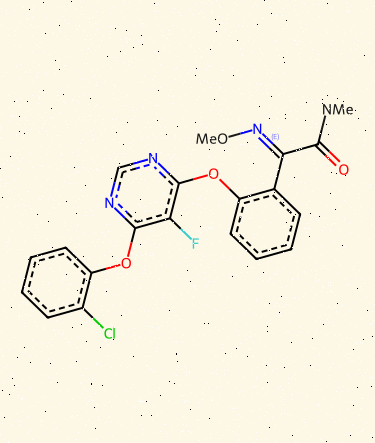 CNC(=O)/C(=N/OC)c1ccccc1Oc1ncnc(Oc2ccccc2Cl)c1F